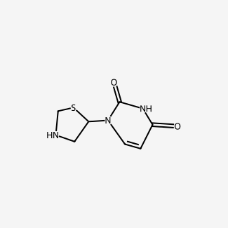 O=c1ccn(C2CNCS2)c(=O)[nH]1